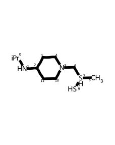 CC(C)NC1CCN(C[SH](C)S)CC1